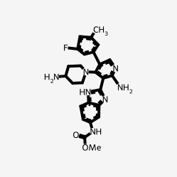 COC(=O)Nc1ccc2[nH]c(-c3c(N)ncc(-c4cc(C)cc(F)c4)c3N3CCC(N)CC3)nc2c1